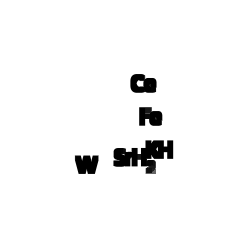 [Ce].[Fe].[KH].[SrH2].[W]